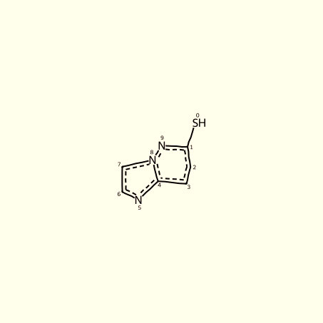 Sc1ccc2nccn2n1